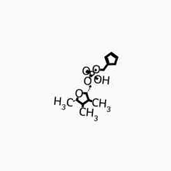 CC1C(C)[C@@H](COP(=O)(O)OCC2=CC=CC2)O[C@H]1C